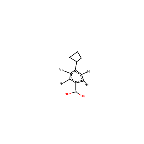 [2H]c1c([2H])c(C2CCC2)c([2H])c([2H])c1B(O)O